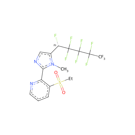 CCS(=O)(=O)c1cccnc1-c1ncc([C@H](F)C(F)(F)C(F)(F)C(F)(F)C(F)(F)F)n1C